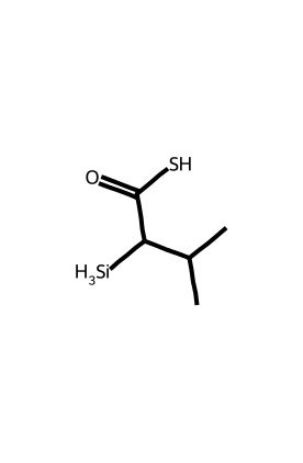 CC(C)C([SiH3])C(=O)S